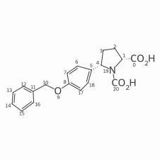 O=C(O)[C@H]1CC[C@@H](c2ccc(OCc3ccccc3)cc2)N1C(=O)O